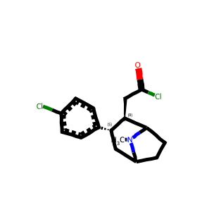 CN1C2CCC1[C@H](CC(=O)Cl)[C@@H](c1ccc(Cl)cc1)C2